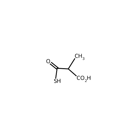 CC(C(=O)O)C(=O)S